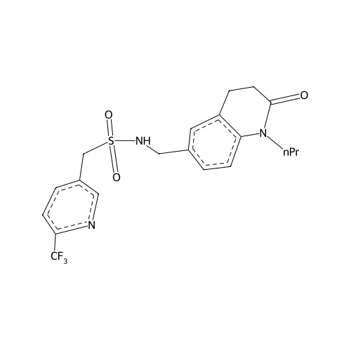 CCCN1C(=O)CCc2cc(CNS(=O)(=O)Cc3ccc(C(F)(F)F)nc3)ccc21